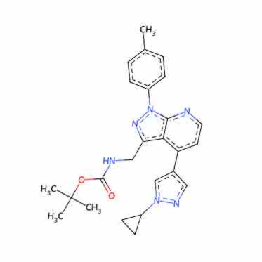 Cc1ccc(-n2nc(CNC(=O)OC(C)(C)C)c3c(-c4cnn(C5CC5)c4)ccnc32)cc1